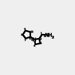 NCC1CCN1C1CCCC1